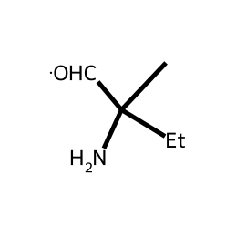 CCC(C)(N)[C]=O